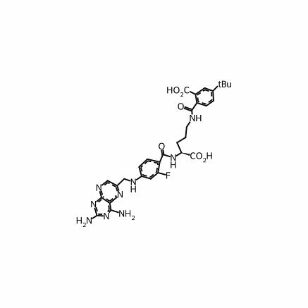 CC(C)(C)c1ccc(C(=O)NCCC[C@H](NC(=O)c2ccc(NCc3cnc4nc(N)nc(N)c4n3)cc2F)C(=O)O)c(C(=O)O)c1